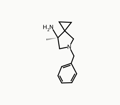 C[C@@]1(N)CN(Cc2ccccc2)CC12CC2